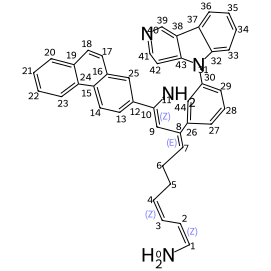 N/C=C\C=C/CC/C=C(\C=C(/N)c1ccc2c(ccc3ccccc32)c1)c1cccc(-n2c3ccccc3c3cnccc32)c1